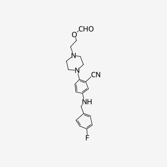 N#Cc1cc(NCc2ccc(F)cc2)ccc1N1CCN(CCOC=O)CC1